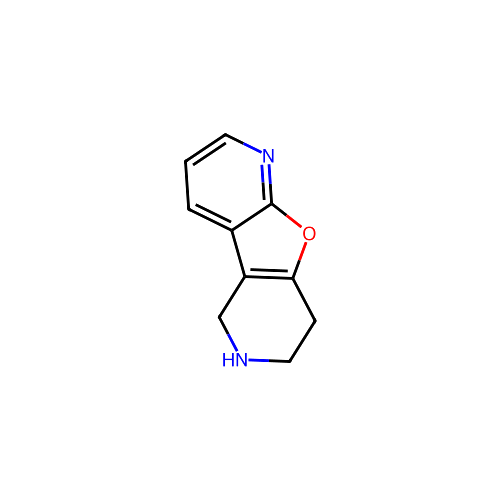 c1cnc2oc3c(c2c1)CNCC3